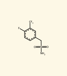 NS(=O)(=O)Cc1ccc(F)c(C(F)(F)F)c1